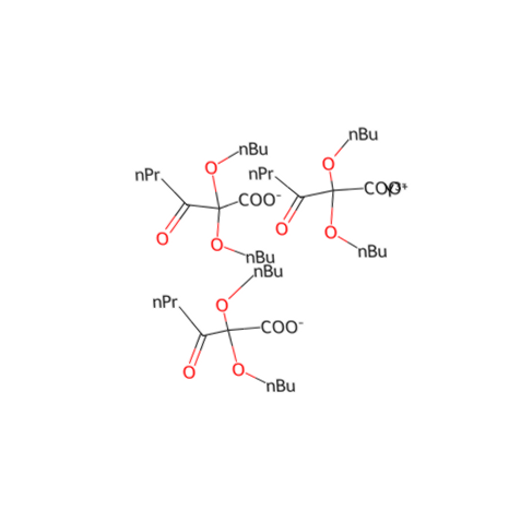 CCCCOC(OCCCC)(C(=O)[O-])C(=O)CCC.CCCCOC(OCCCC)(C(=O)[O-])C(=O)CCC.CCCCOC(OCCCC)(C(=O)[O-])C(=O)CCC.[Y+3]